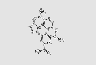 NC(=O)c1ccc(-c2cccc(C(N)=O)c2-c2nccs2)c(C(N)=O)c1